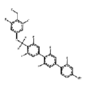 CCCc1ccc(-c2cc(F)c(-c3cc(F)c(C(F)(F)Oc4cc(F)c(CF)c(F)c4)c(F)c3)c(F)c2)c(F)c1